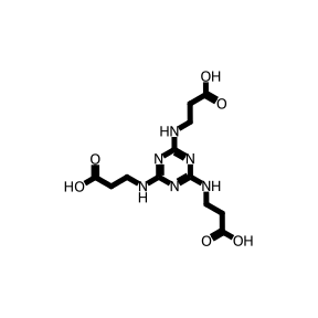 O=C(O)CCNc1nc(NCCC(=O)O)nc(NCCC(=O)O)n1